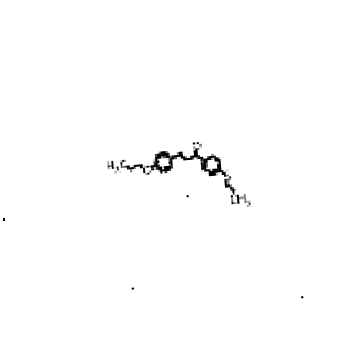 CCCOc1ccc(/C=C/C(=O)c2ccc(SCCC)cc2)cc1